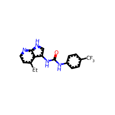 CCc1ccnc2[nH]cc(NC(=O)Nc3ccc(C(F)(F)F)cc3)c12